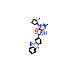 CC(C)C[C@@H](NC(=O)C1=CC2Nc3ccccc3SC2C=C1)C(=O)N[C@H]1CCC[C@H]1C